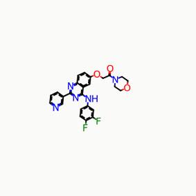 O=C(COc1ccc2nc(-c3cccnc3)nc(Nc3ccc(F)c(F)c3)c2c1)N1CCOCC1